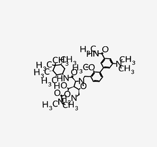 CNC(=O)c1cc(-c2cccc(CN3O[C@@H](CN)[C@@H]([C@H](O)OC(=O)N(C)C)[C@H]3C(=O)N[C@H]3C[C@@H](C)C(C)(C)[C@@H](C)[C@@H]3C)c2OC)cc(N(C)C)c1